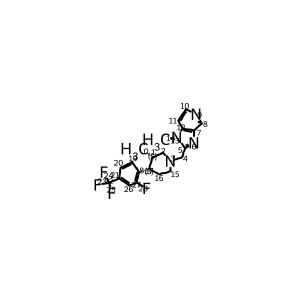 C[C@@H]1CN(Cc2nc3cnccc3n2C)CC[C@@H]1c1ccc(C(F)(F)F)cc1F